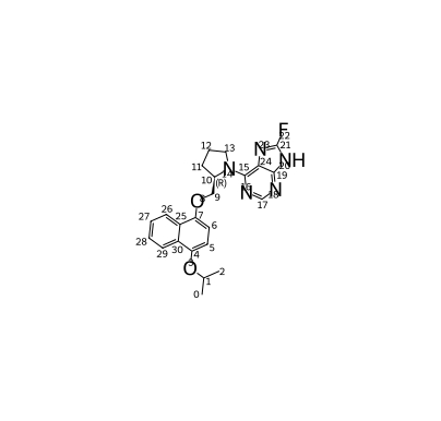 CC(C)Oc1ccc(OC[C@H]2CCCN2c2ncnc3[nH]c(F)nc23)c2ccccc12